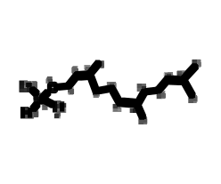 CC[Si](CC)(CC)OCC=C(C)CCC=C(C)CCC=C(C)C